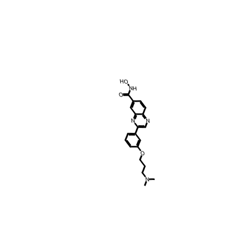 CN(C)CCCOc1cccc(-c2cnc3ccc(C(=O)NO)cc3n2)c1